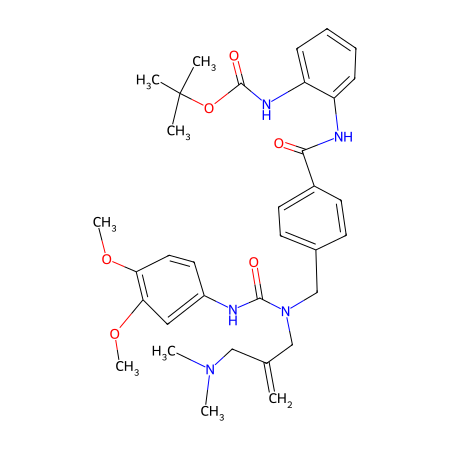 C=C(CN(C)C)CN(Cc1ccc(C(=O)Nc2ccccc2NC(=O)OC(C)(C)C)cc1)C(=O)Nc1ccc(OC)c(OC)c1